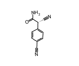 N#Cc1ccc([C@@H](C#N)C(N)=O)cc1